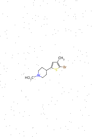 Cc1cc(C2CCN(C(=O)O)CC2)sc1Br